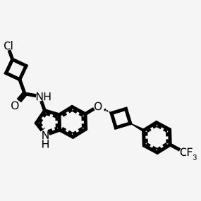 O=C(Nc1c[nH]c2ccc(O[C@H]3C[C@H](c4ccc(C(F)(F)F)cc4)C3)cc12)C1CC(Cl)C1